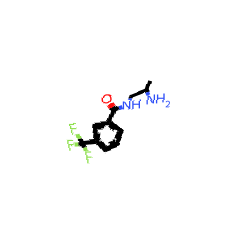 CC(N)CNC(=O)c1cccc(C(F)(F)F)c1